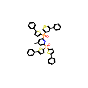 C=C(C/C(=C\S)P(=O)(c1cc(C)cc(P(=O)(c2ccc(-c3ccccc3)s2)c2ccc(-c3ccccc3)s2)n1)c1ccc(-c2ccccc2)s1)c1ccccc1